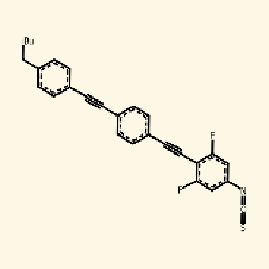 CCC(C)Cc1ccc(C#Cc2ccc(C#Cc3c(F)cc(N=C=S)cc3F)cc2)cc1